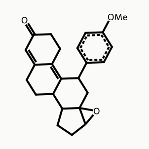 COc1ccc(C2CC34OC3CCC4C3CCC4=CC(=O)CCC4=C23)cc1